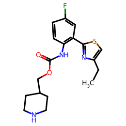 CCc1csc(-c2cc(F)ccc2NC(=O)OCC2CCNCC2)n1